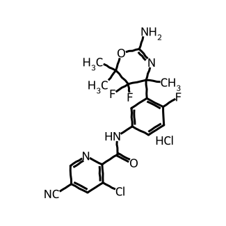 CC1(C)OC(N)=NC(C)(c2cc(NC(=O)c3ncc(C#N)cc3Cl)ccc2F)C1(F)F.Cl